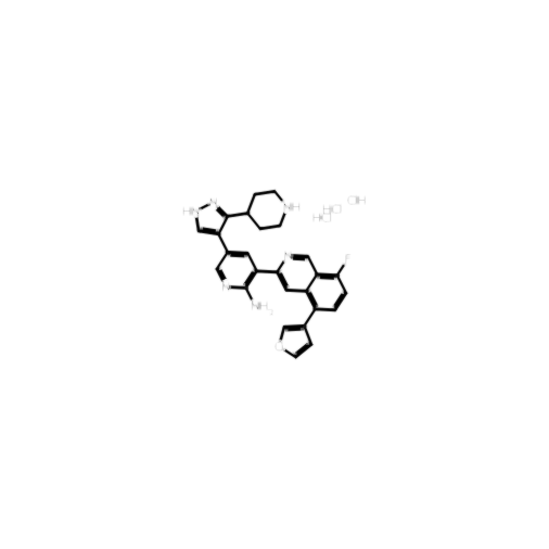 Cl.Cl.Cl.Nc1ncc(-c2c[nH]nc2C2CCNCC2)cc1-c1cc2c(-c3ccoc3)ccc(F)c2cn1